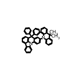 CC1(C)c2ccccc2N(c2ccc3c(c2)C(c2ccccc2)(c2ccccc2)c2cccc4c5ccccc5n-3c24)c2ccccc21